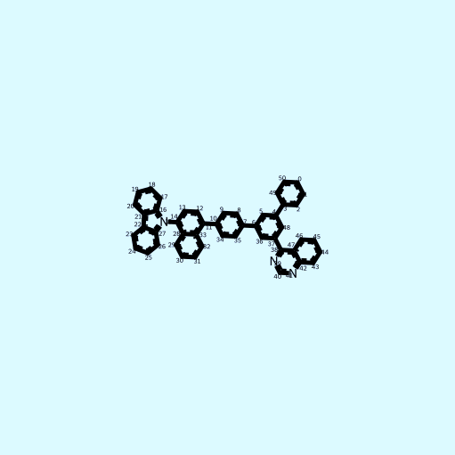 c1ccc(-c2cc(-c3ccc(-c4ccc(-n5c6ccccc6c6ccccc65)c5ccccc45)cc3)cc(-c3ncnc4ccccc34)c2)cc1